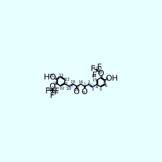 O=C(/C=C/c1ccc(O)c(OC(F)(F)F)c1)CC(=O)/C=C/c1ccc(O)c(OC(F)(F)F)c1